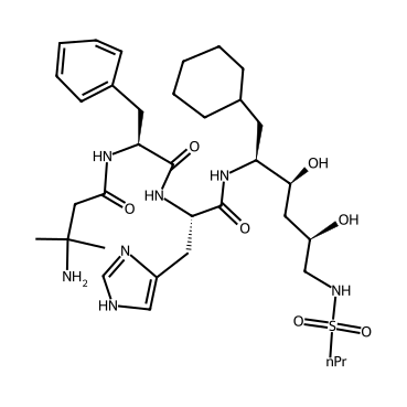 CCCS(=O)(=O)NC[C@H](O)C[C@H](O)[C@H](CC1CCCCC1)NC(=O)[C@H](Cc1c[nH]cn1)NC(=O)[C@H](Cc1ccccc1)NC(=O)CC(C)(C)N